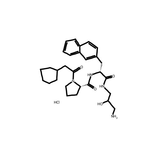 Cl.NCC(O)CNC(=O)[C@@H](Cc1ccc2ccccc2c1)NC(=O)[C@@H]1CCCN1C(=O)CC1CCCCC1